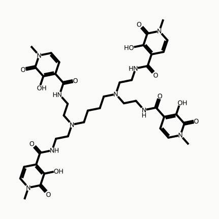 Cn1ccc(C(=O)NCCN(CCCCN(CCNC(=O)c2ccn(C)c(=O)c2O)CCNC(=O)c2ccn(C)c(=O)c2O)CCNC(=O)c2ccn(C)c(=O)c2O)c(O)c1=O